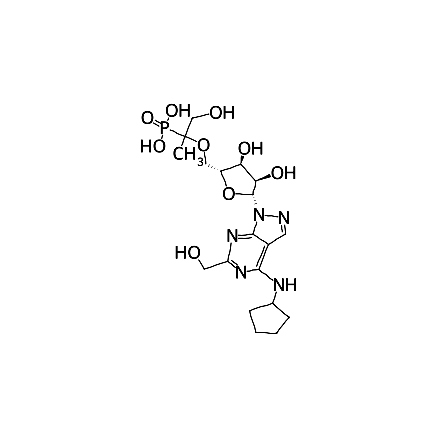 CC(CO)(OC[C@H]1O[C@@H](n2ncc3c(NC4CCCC4)nc(CO)nc32)[C@H](O)[C@@H]1O)P(=O)(O)O